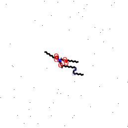 CCCCC/C=C\C/C=C\CCCCCCCC(C)OCCN(CCOC(=O)CCCCCCC)C1COC(CCCCCCC)O1